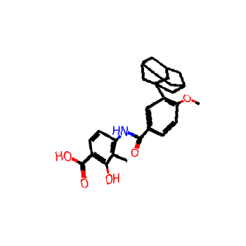 COc1ccc(C(=O)Nc2ccc(C(=O)O)c(O)c2C)cc1C12CC3CC(CC(C3)C1)C2